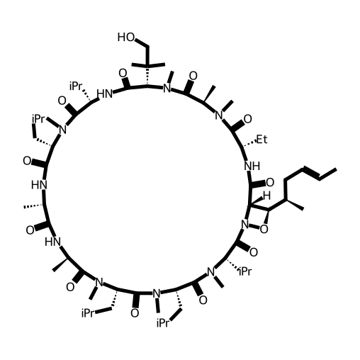 C/C=C/C[C@@H](C)[C@H]1ON2C(=O)[C@H](C(C)C)N(C)C(=O)[C@H](CC(C)C)N(C)C(=O)[C@H](CC(C)C)N(C)C(=O)[C@@H](C)NC(=O)[C@H](C)NC(=O)[C@H](CC(C)C)N(C)C(=O)[C@H](C(C)C)NC(=O)[C@H](C(C)(C)CO)N(C)C(=O)[C@@H](C)N(C)C(=O)[C@H](CC)NC(=O)[C@H]12